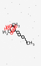 C=C(CO)C(=O)OCC(COC(=O)C(=C)CO)C1CCC2CC(C3CCC(CCCCC)CC3)CCC2C1